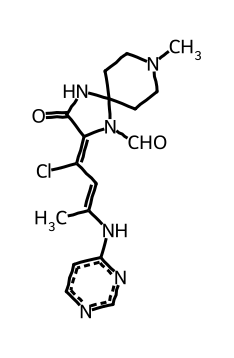 C/C(=C\C(Cl)=C1\C(=O)NC2(CCN(C)CC2)N1C=O)Nc1ccncn1